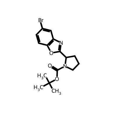 CC(C)(C)OC(=O)N1CCCC1c1nc2cc(Br)ccc2o1